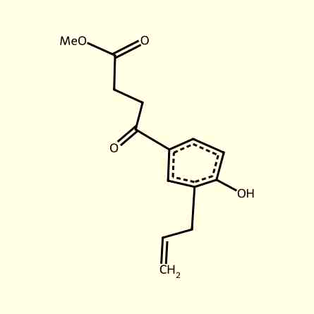 C=CCc1cc(C(=O)CCC(=O)OC)ccc1O